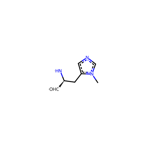 Cn1cncc1C[C@H]([NH])[C]=O